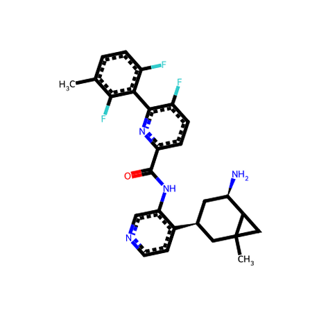 Cc1ccc(F)c(-c2nc(C(=O)Nc3cnccc3[C@H]3C[C@@H](N)C4CC4(C)C3)ccc2F)c1F